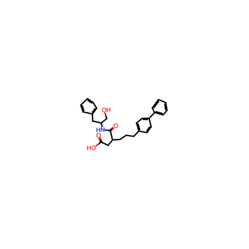 O=C(O)CC(CCCc1ccc(-c2ccccc2)cc1)C(=O)NC(CO)Cc1ccccc1